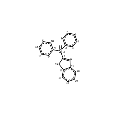 C1=C([SiH](c2ccccc2)c2ccccc2)Cc2ccccc21